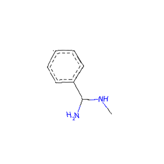 CNC(N)c1cc[c]cc1